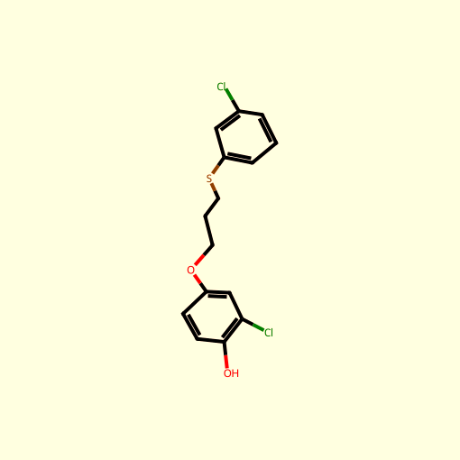 Oc1ccc(OCCCSc2cccc(Cl)c2)cc1Cl